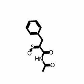 CC(=O)NC(=O)C(Cc1ccccc1)=S=O